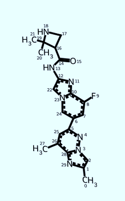 Cc1cn2nc(-c3cc(F)c4nc(NC(=O)C5CNC5(C)C)cn4c3)cc(C)c2n1